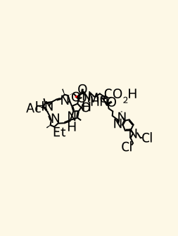 CC[C@H]1c2cc3[nH]c4c(c3C)C(=O)C(C(=O)OC)c4c3nc(cc4[nH]c(cc(n2)[C@@H]1C)c(C(C)=O)c4C)[C@@H](C)[C@@H]3CCC(=O)NCCCC(NC(=O)CCCc1nc2cc(N(CCCl)CCCl)ccc2n1C)C(=O)O